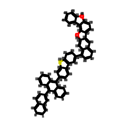 c1ccc2cc(-c3c4ccccc4c(-c4ccc5c(c4)sc4ccc(-c6cccc7cc8c(cc67)oc6c8ccc7oc8ccccc8c76)cc45)c4ccccc34)ccc2c1